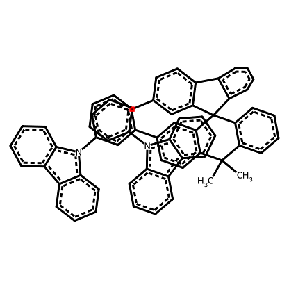 CC1(C)c2ccccc2C2(c3ccccc3-c3ccc(-c4ccccc4-n4c5ccccc5c5ccccc54)cc32)c2cc(-c3cccc(-n4c5ccccc5c5ccccc54)c3)ccc21